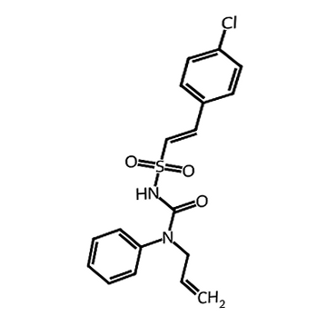 C=CCN(C(=O)NS(=O)(=O)/C=C/c1ccc(Cl)cc1)c1ccccc1